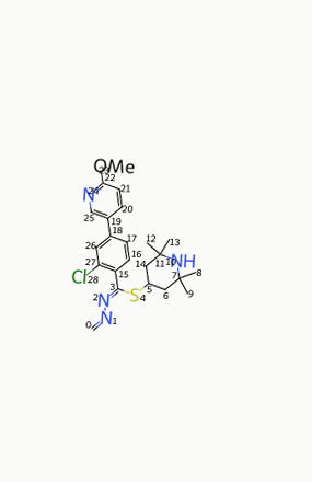 C=N/N=C(\SC1CC(C)(C)NC(C)(C)C1)c1ccc(-c2ccc(OC)nc2)cc1Cl